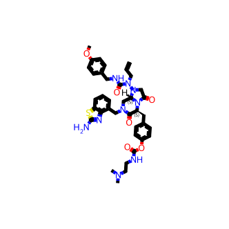 C=CCN(C(=O)NCc1ccc(OC)cc1)N1CC(=O)N2[C@@H](Cc3ccc(OC(=O)NCCN(C)C)cc3)C(=O)N(Cc3cccc4sc(N)nc34)C[C@@H]21